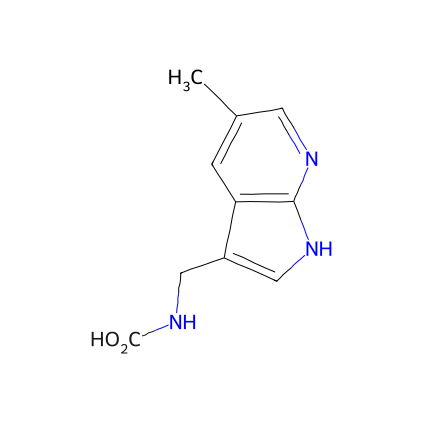 Cc1cnc2[nH]cc(CNC(=O)O)c2c1